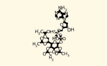 CC(=O)OC[C@H](OC(C)=O)C1OC(OP(=O)(O)OP(=O)(S)OC[C@H]2O[C@@H](n3cnc4c(N)ncnc43)C[C@@H]2O)C(OC(C)=O)C(O)C1OC(C)=O